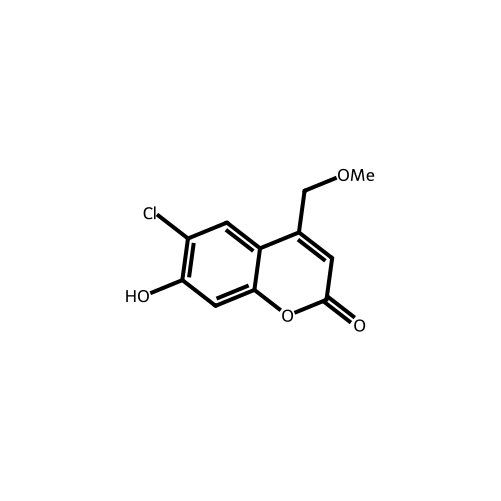 COCc1cc(=O)oc2cc(O)c(Cl)cc12